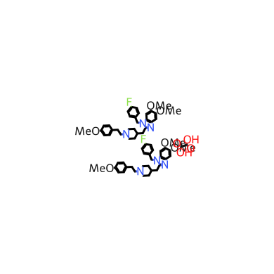 COc1ccc(CCN2CCC(Cc3nc4cc(OC)c(OC)cc4n3Cc3ccc(F)cc3)CC2)cc1.COc1ccc(CCN2CCC(Cc3nc4cc(OC)c(OC)cc4n3Cc3ccc(F)cc3)CC2)cc1.O=C(O)C(=O)O